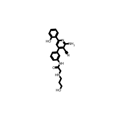 N#Cc1c(-c2cccc(NC(=O)CNCCCO)c2)cc(-c2ccccc2O)nc1N